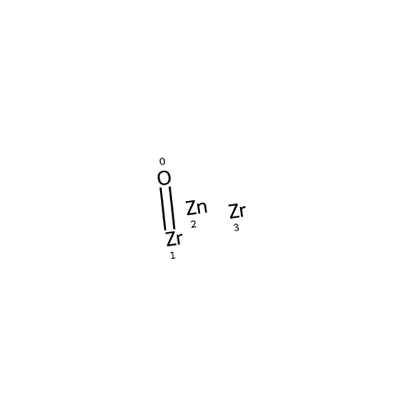 [O]=[Zr].[Zn].[Zr]